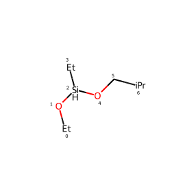 CCO[SiH](CC)OCC(C)C